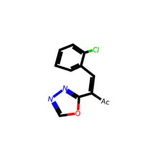 CC(=O)/C(=C/c1ccccc1Cl)c1nnco1